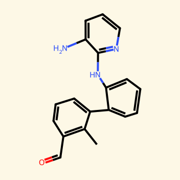 Cc1c(C=O)cccc1-c1ccccc1Nc1ncccc1N